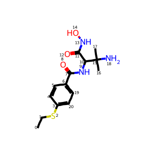 CCSc1ccc(C(=O)NC(C(=O)NO)C(C)(C)N)cc1